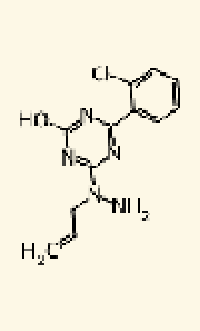 C=CCN(N)c1nc(O)nc(-c2ccccc2Cl)n1